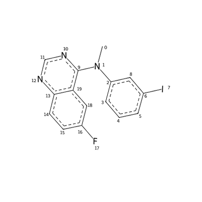 CN(c1cccc(I)c1)c1ncnc2ccc(F)cc12